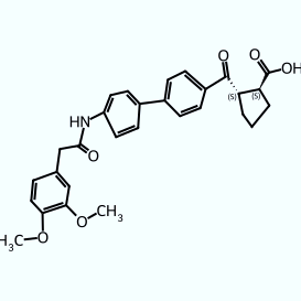 COc1ccc(CC(=O)Nc2ccc(-c3ccc(C(=O)[C@H]4CCC[C@@H]4C(=O)O)cc3)cc2)cc1OC